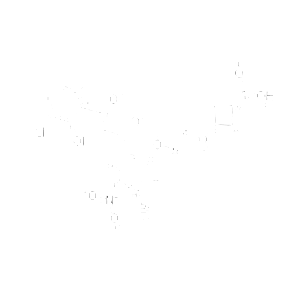 O=C(CC(=O)c1cccc(Cl)c1O)c1cc([N+](=O)[O-])c(Br)cc1OCCOC1CC(C(=O)O)C1